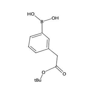 CC(C)(C)OC(=O)Cc1cccc(B(O)O)c1